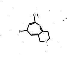 CC1=CC(F)C=C2COCCC2=N1